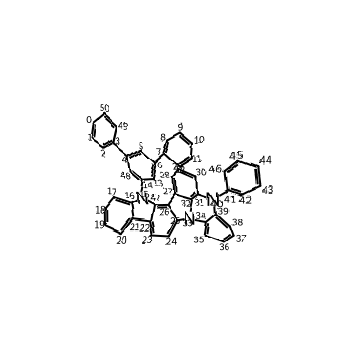 c1ccc(-c2cc(-c3ccccc3)cc(-n3c4ccccc4c4ccc5c(c6cccc7c6n5-c5ccccc5N7c5ccccc5)c43)c2)cc1